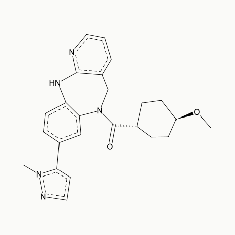 CO[C@H]1CC[C@H](C(=O)N2Cc3cccnc3Nc3ccc(-c4ccnn4C)cc32)CC1